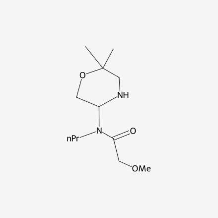 CCCN(C(=O)COC)C1COC(C)(C)CN1